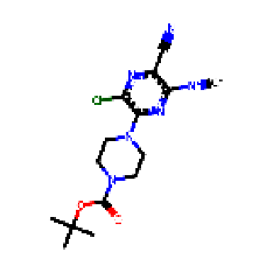 [C-]#[N+]c1nc(N2CCN(C(=O)OC(C)(C)C)CC2)c(Cl)nc1C#N